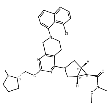 CON(C)C(=O)[C@H]1[C@@H]2CN(c3nc(OC[C@@H]4CCCN4C)nc4c3CCN(c3cccc5cccc(Cl)c35)C4)C[C@@H]21